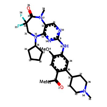 CNC(=O)c1cc(OC)c(Nc2ncc3c(n2)N(C2CCCC2)CC(F)(F)C(=O)N3C)cc1C1CCN(C)CC1